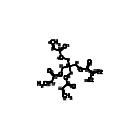 C=CC(=O)OCC(COC(=O)C=C)(COC(=O)C=C)COC(=O)N(CC)CC